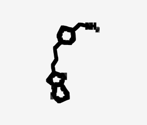 NCc1ccc(CCCc2cn3ncccc3n2)cc1